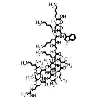 CC(C)[C@H](NC(=O)[C@@H](N)CCN)C(=O)N[C@@H](C)C(=O)N[C@@H](CCCNC(=N)N)C(=O)N[C@@H](CC(N)=O)C(=O)N[C@@H](CC(N)=O)C(=O)N[C@@H](CCN)C(=O)N[C@H](C(=O)N[C@@H](CCCCN)C(=O)NCC(=O)N[C@@H](CCCCN)C(=O)N[C@@H](Cc1c[nH]c2ccccc12)C(=O)N[C@@H](CCCCN)C(=O)N[C@@H](CCCCN)C(=O)O)[C@@H](C)O